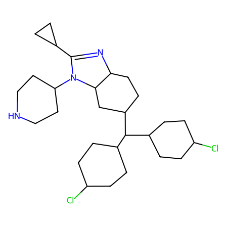 ClC1CCC(C(C2CCC(Cl)CC2)C2CCC3N=C(C4CC4)N(C4CCNCC4)C3C2)CC1